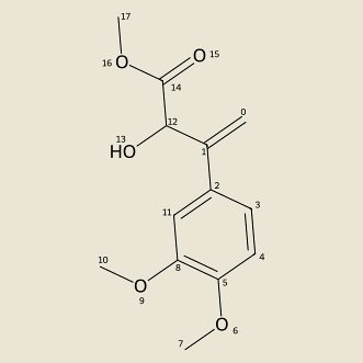 C=C(c1ccc(OC)c(OC)c1)C(O)C(=O)OC